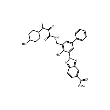 COC(=O)c1ccc2nn(-c3cc(-c4ccccc4)cc(CNC(=O)C(=O)N(C)C4CCC(C(C)(C)C)CC4)c3O)nc2c1